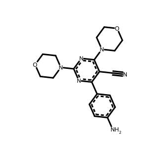 N#Cc1c(-c2ccc(N)cc2)nc(N2CCOCC2)nc1N1CCOCC1